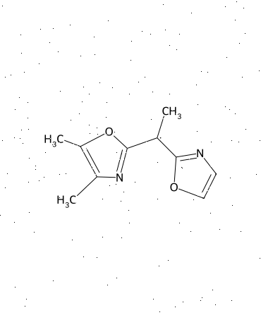 C[C](c1ncco1)c1nc(C)c(C)o1